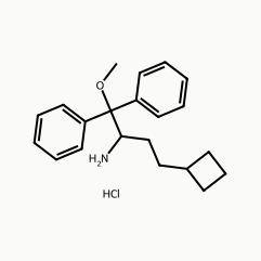 COC(c1ccccc1)(c1ccccc1)C(N)CCC1CCC1.Cl